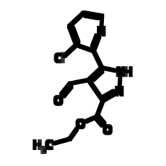 CCOC(=O)c1n[nH]c(-c2ncccc2Cl)c1C=O